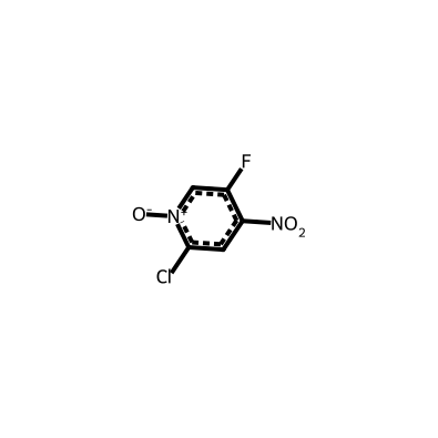 O=[N+]([O-])c1cc(Cl)[n+]([O-])cc1F